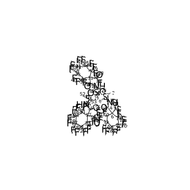 C[Si](C)(NC(=O)C1(C(=O)F)C(F)(F)C(F)(F)C(F)(F)C(F)(F)C1(F)F)O[Si](C)(NC(=O)C1(C(=O)F)C(F)(F)C(F)(F)C(F)(F)C(F)(F)C1(F)F)O[Si](C)(C)NC(=O)C1(C(=O)F)C(F)(F)C(F)(F)C(F)(F)C(F)(F)C1(F)F